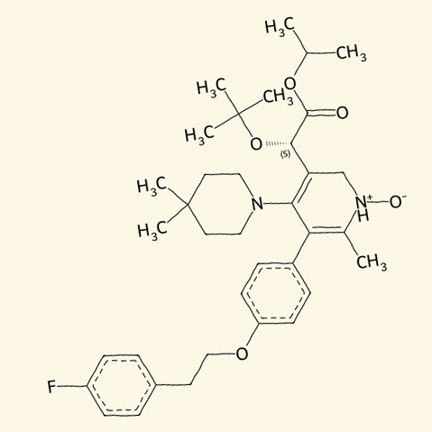 CC1=C(c2ccc(OCCc3ccc(F)cc3)cc2)C(N2CCC(C)(C)CC2)=C([C@H](OC(C)(C)C)C(=O)OC(C)C)C[NH+]1[O-]